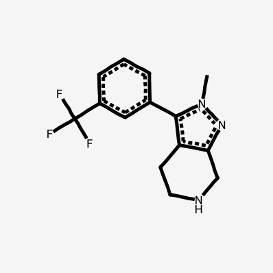 Cn1nc2c(c1-c1cccc(C(F)(F)F)c1)CCNC2